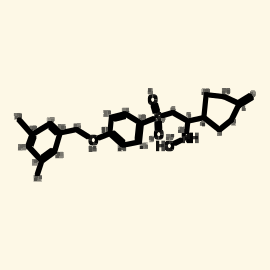 C=C1CCC(C(CS(=O)(=O)c2ccc(OCc3cc(C)cc(C)c3)cc2)NO)CC1